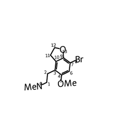 CNCCc1c(OC)cc(Br)c2c1CCO2